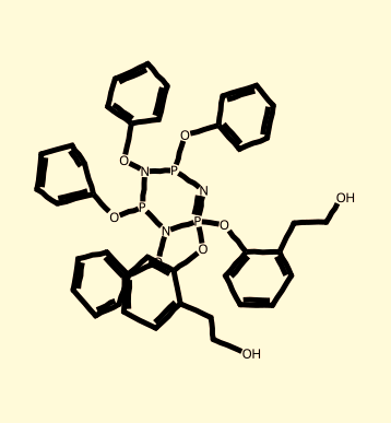 OCCc1ccccc1OP1(Oc2ccccc2CCO)=NP(Oc2ccccc2)N(Oc2ccccc2)P(Oc2ccccc2)N1Oc1ccccc1